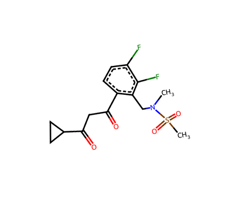 CN(Cc1c(C(=O)CC(=O)C2CC2)ccc(F)c1F)S(C)(=O)=O